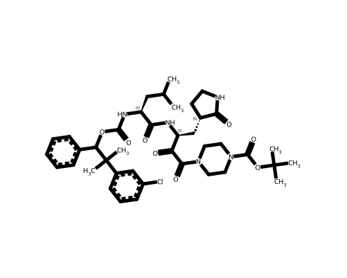 CC(C)C[C@H](NC(=O)OC(c1ccccc1)C(C)(C)c1cccc(Cl)c1)C(=O)N[C@@H](C[C@@H]1CCNC1=O)C(=O)C(=O)N1CCN(C(=O)OC(C)(C)C)CC1